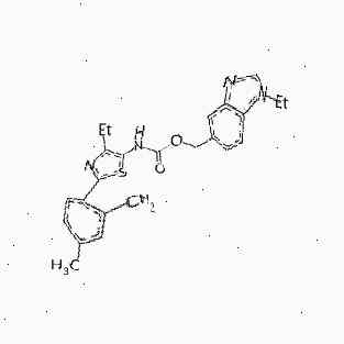 CCc1nc(-c2ccc(C)cc2C)sc1NC(=O)OCc1ccc2c(c1)ncn2CC